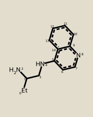 CCC(N)CNc1ccnc2ccccc12